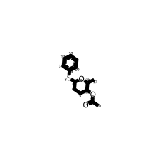 CC(=O)OC1CCC(Sc2ccccc2)OC1C